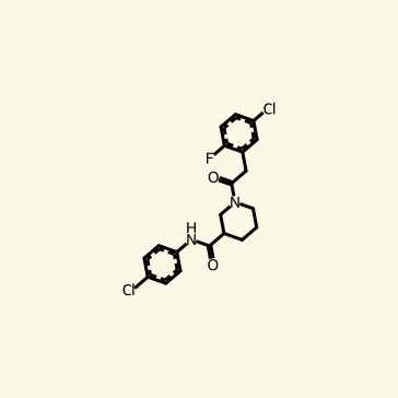 O=C(Nc1ccc(Cl)cc1)C1CCCN(C(=O)Cc2cc(Cl)ccc2F)C1